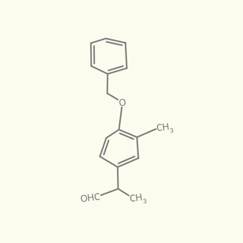 Cc1cc(C(C)C=O)ccc1OCc1ccccc1